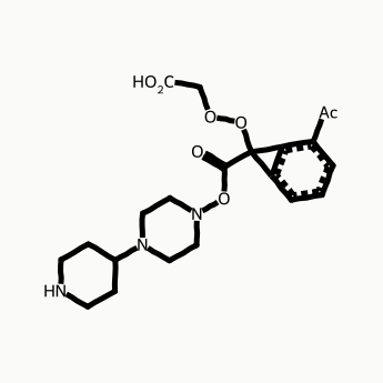 CC(=O)c1cccc2c1C2(OOCC(=O)O)C(=O)ON1CCN(C2CCNCC2)CC1